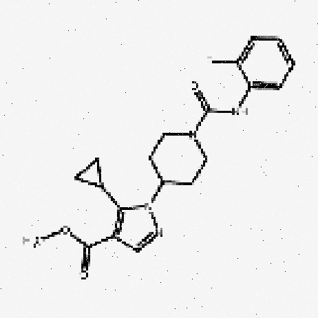 COC(=O)c1cnn(C2CCN(C(=O)Nc3ccccc3F)CC2)c1C1CC1